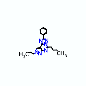 CCCCc1nc2nn(CCC)cc2c2nc(-c3ccccc3)nn12